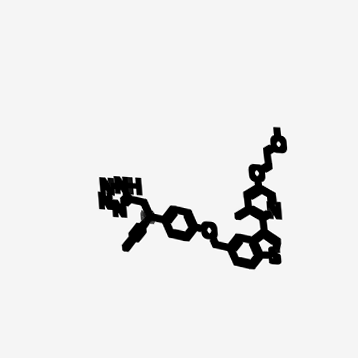 CC#C[C@@H](Cc1nnn[nH]1)c1ccc(OCc2ccc3scc(-c4ncc(OCCOC)cc4C)c3c2)cc1